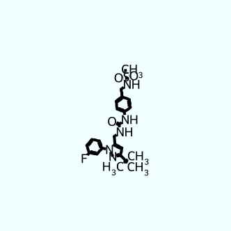 CC(C)(C)c1cc(CNC(=O)Nc2ccc(CNS(C)(=O)=O)cc2)n(-c2cccc(F)c2)n1